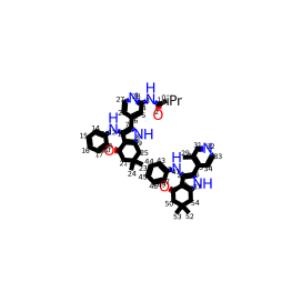 CC(C)C(=O)Nc1cc(-c2[nH]c3c(c2Nc2ccccc2)C(=O)CC(C)(C)C3)ccn1.Cc1cnccc1-c1[nH]c2c(c1Nc1ccccc1)C(=O)CC(C)(C)C2